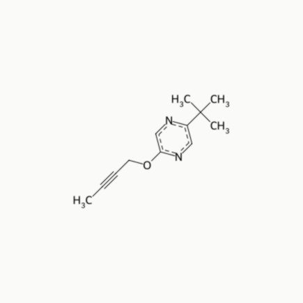 CC#CCOc1cnc(C(C)(C)C)cn1